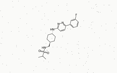 CC(C)S(=O)(=O)NC[C@H]1CC[C@H](Nc2ccc(-c3cccc(F)c3)nn2)CC1